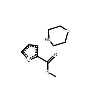 C1COCCN1.CNC(=O)c1ccco1